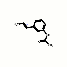 C/C=C/c1cccc(NC(C)=O)c1